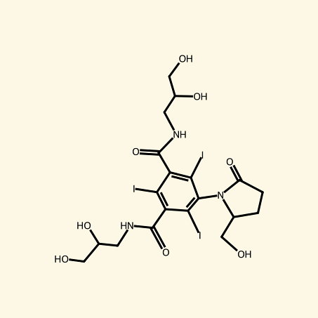 O=C(NCC(O)CO)c1c(I)c(C(=O)NCC(O)CO)c(I)c(N2C(=O)CCC2CO)c1I